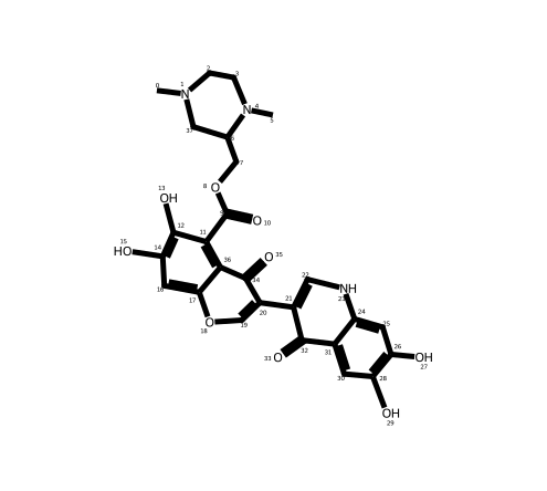 CN1CCN(C)C(COC(=O)c2c(O)c(O)cc3occ(-c4c[nH]c5cc(O)c(O)cc5c4=O)c(=O)c23)C1